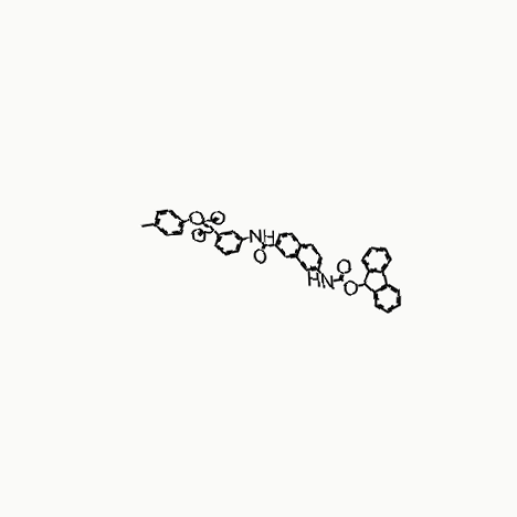 Cc1ccc(OS(=O)(=O)c2cccc(NC(=O)c3ccc4ccc(NC(=O)OC5c6ccccc6-c6ccccc65)cc4c3)c2)cc1